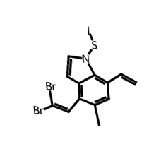 C=Cc1cc(C)c(C=C(Br)Br)c2ccn(SI)c12